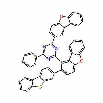 c1ccc(-c2nc(-c3ccc4oc5ccccc5c4c3)nc(-c3c(-c4ccc5c(c4)sc4ccccc45)ccc4oc5ccccc5c34)n2)cc1